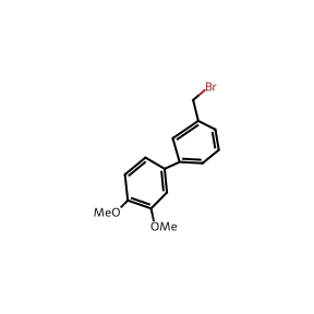 COc1ccc(-c2cccc(CBr)c2)cc1OC